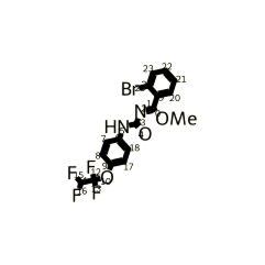 CO/C(=N\C(=O)Nc1ccc(OC(F)(F)C(F)F)cc1)c1ccccc1Br